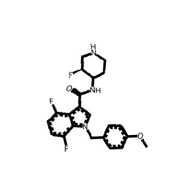 COc1ccc(Cn2cc(C(=O)NC3CCNC[C@@H]3F)c3c(F)ccc(F)c32)cc1